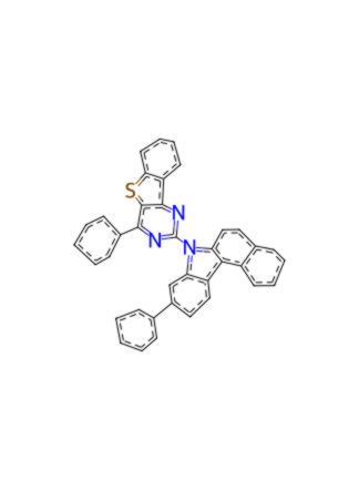 c1ccc(-c2ccc3c4c5ccccc5ccc4n(-c4nc(-c5ccccc5)c5sc6ccccc6c5n4)c3c2)cc1